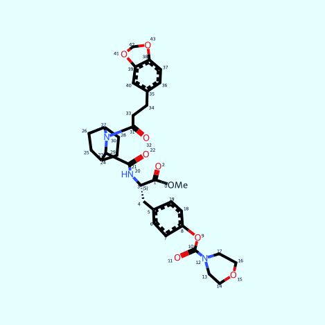 COC(=O)[C@H](Cc1ccc(OC(=O)N2CCOCC2)cc1)NC(=O)C1C2CCC(CC2)N1C(=O)CCc1ccc2c(c1)OCO2